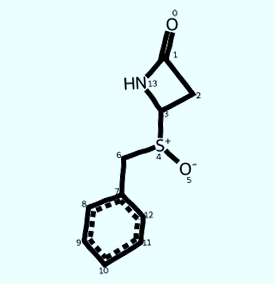 O=C1CC([S+]([O-])Cc2ccccc2)N1